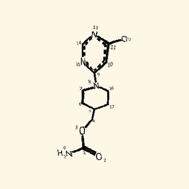 NC(=O)OCC1CCN(c2cc(Cl)ncn2)CC1